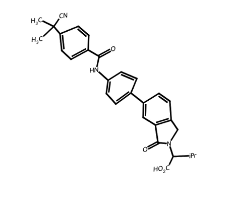 CC(C)C(C(=O)O)N1Cc2ccc(-c3ccc(NC(=O)c4ccc(C(C)(C)C#N)cc4)cc3)cc2C1=O